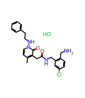 Cc1ccn(NCCc2ccccc2)c(=O)c1CC(=O)NCc1cc(Cl)ccc1CN.Cl